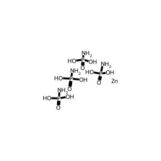 NP(=O)(O)O.NP(=O)(O)O.NP(=O)(O)O.NP(=O)(O)O.[Zn]